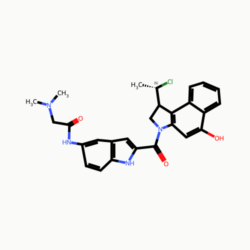 C[C@H](Cl)C1CN(C(=O)c2cc3cc(NC(=O)CN(C)C)ccc3[nH]2)c2cc(O)c3ccccc3c21